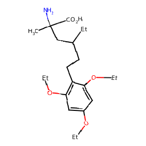 CCOc1cc(OCC)c(CCC(CC)CC(C)(N)C(=O)O)c(OCC)c1